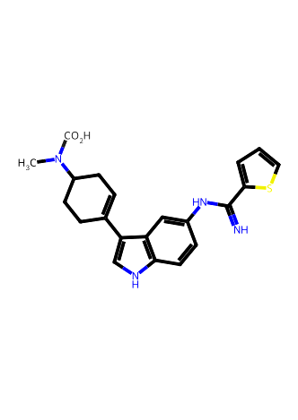 CN(C(=O)O)C1CC=C(c2c[nH]c3ccc(NC(=N)c4cccs4)cc23)CC1